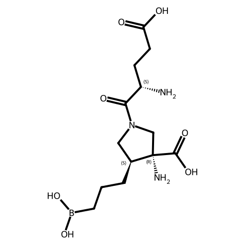 N[C@@H](CCC(=O)O)C(=O)N1C[C@H](CCCB(O)O)[C@](N)(C(=O)O)C1